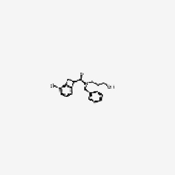 O=C(C1Cc2c(Cl)cccc21)N(CCCO)Cc1ccccc1